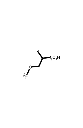 CC(=O)OCC(C)C(=O)O